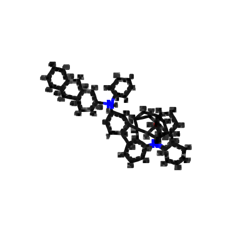 c1ccc(N(c2ccc3c(c2)C2(c4c-3cccc4-n3c4ccccc4c4ccccc43)C3CC4CC(C3)CC2C4)c2ccc3cc4ccccc4cc3c2)cc1